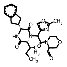 CC[C@H](C)[C@@H]1C(=O)N[C@H](C2Cc3ccccc3C2)C(=O)N1C(C(=O)N1CCOCC1C=O)c1coc(C)n1